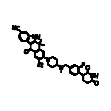 CCc1cc2c(cc1N1CCC(N(C)Cc3ccc(C4CCC(=O)NC4=O)c(F)c3)CC1)C(C)(C)c1[nH]c3cc(C#N)ccc3c1C2=O